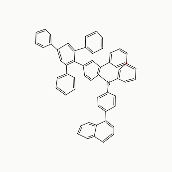 c1ccc(-c2cc(-c3ccccc3)c(-c3ccc(N(c4ccccc4)c4ccc(-c5cccc6ccccc56)cc4)c(-c4ccccc4)c3)c(-c3ccccc3)c2)cc1